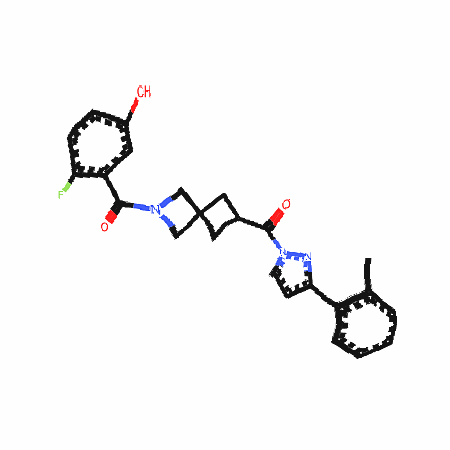 Cc1ccccc1-c1ccn(C(=O)C2CC3(C2)CN(C(=O)c2cc(O)ccc2F)C3)n1